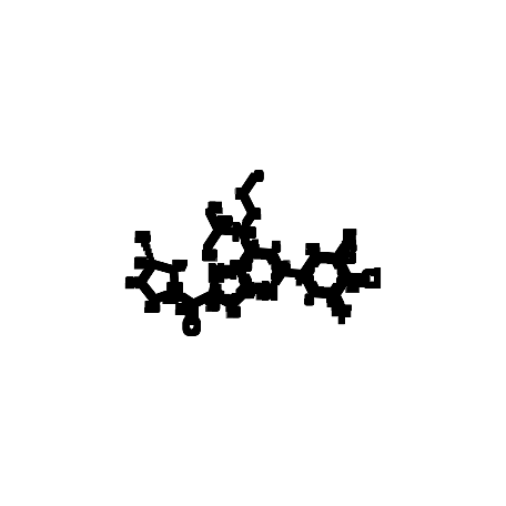 CCCN(c1cc(-c2cc(F)c(Cl)c(F)c2)nc2cc(C(=O)N3CC[C@H](C)C3)nn12)C(C)C